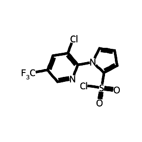 O=S(=O)(Cl)c1cccn1-c1ncc(C(F)(F)F)cc1Cl